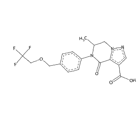 CC1Cn2ncc(C(=O)O)c2C(=O)N1c1ccc(COCC(F)(F)F)cc1